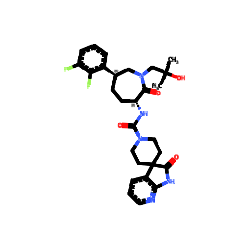 CC(C)(O)CN1C[C@H](c2cccc(F)c2F)CC[C@@H](NC(=O)N2CCC3(CC2)C(=O)Nc2ncccc23)C1=O